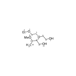 CCOCCOCCO.COC(C)CCO